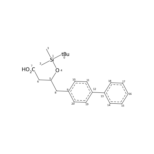 CC(C)(C)[Si](C)(C)OC(CC(=O)O)Cc1ccc(-c2ccccc2)cc1